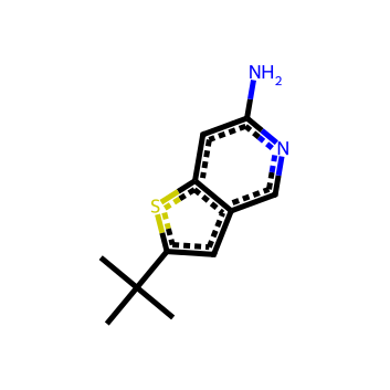 CC(C)(C)c1cc2cnc(N)cc2s1